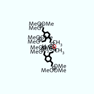 CO[Si](CCC1CCC(CC[Si](OC)(OC)OC)C(CC[Si](C)(C)O[Si](C)(C)CCC2CCC(CC[Si](OC)(OC)OC)CC2CC[Si](OC)(OC)OC)C1)(OC)OC